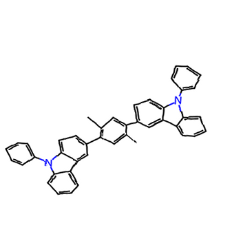 Cc1cc(-c2ccc3c(c2)c2ccccc2n3-c2ccccc2)c(C)cc1-c1ccc2c(c1)c1ccccc1n2-c1ccccc1